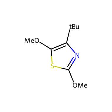 COc1nc(C(C)(C)C)c(OC)s1